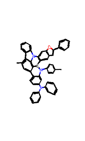 Cc1ccc(N2B3c4cc5cc(-c6ccccc6)oc5cc4-n4c5ccccc5c5c(C)cc(c3c54)-c3ccc(N(c4ccccc4)c4ccccc4)cc32)cc1